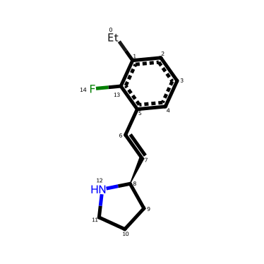 CCc1cccc(/C=C/[C@H]2CCCN2)c1F